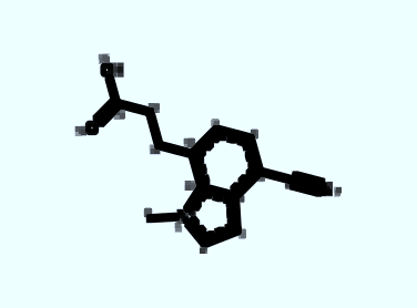 Cn1ccc2c(C#N)ccc(CCC(=O)O)c21